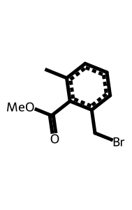 COC(=O)c1c(C)cccc1CBr